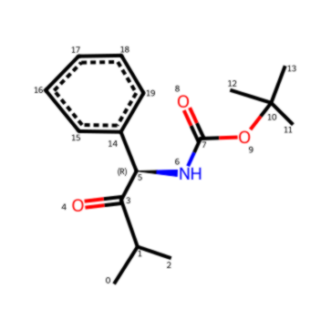 CC(C)C(=O)[C@H](NC(=O)OC(C)(C)C)c1ccccc1